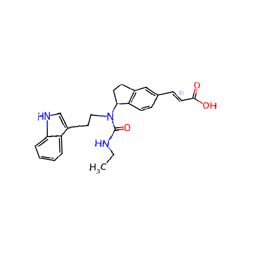 CCNC(=O)N(CCc1c[nH]c2ccccc12)C1CCc2cc(/C=C/C(=O)O)ccc21